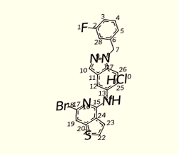 Cl.Fc1cccc(Cn2ncc3cc(Nc4nc(Br)cc5sccc45)ccc32)c1